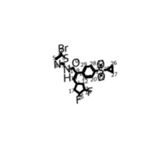 O=C(Nc1ncc(Br)s1)/C(=C/C1CC(F)C(F)C1)c1ccc(S(=O)(=O)C2CC2)cc1